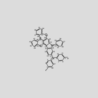 Cc1ccc(N(c2ccc(C)cc2)c2ccc3c4c5c6c(cc4n(-c4ccccc4)c3c2)Oc2ccccc2B6c2ccccc2O5)cc1